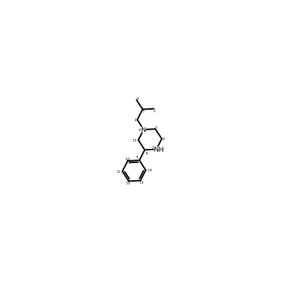 C[C](C)CN1CCNC(c2ccccc2)C1